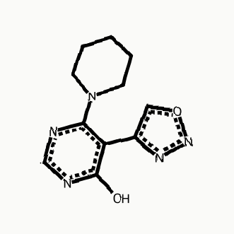 Oc1n[c]nc(N2CCCCC2)c1-c1conn1